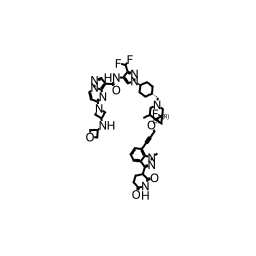 CC1CN(C[C@H]2CC[C@H](n3cc(NC(=O)c4cnn5ccc(N6CC(NC7COC7)C6)nc45)c(C(F)F)n3)CC2)C[C@]2(F)C[C@]12OCC#Cc1cccc2c(C3CCC(=O)NC3=O)nn(C)c12